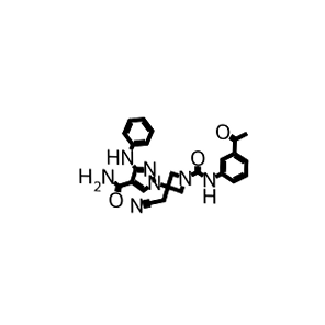 CC(=O)c1cccc(NC(=O)N2CC(CC#N)(n3cc(C(N)=O)c(Nc4ccccc4)n3)C2)c1